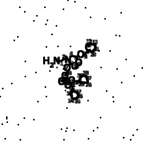 NCCN(CC(=O)OCc1ccccc1)C(=O)OCOP(=O)(OCc1ccccc1)OCc1ccccc1